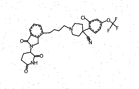 N#CC1(c2ccc(OC(F)(F)F)cc2Cl)CCN(CCCCc2cccc3c2CN(C2CCC(=O)NC2=O)C3=O)CC1